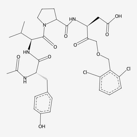 CC(=O)N[C@@H](Cc1ccc(O)cc1)C(=O)N[C@H](C(=O)N1CCCC1C(=O)N[C@@H](CC(=O)O)C(=O)COCc1c(Cl)cccc1Cl)C(C)C